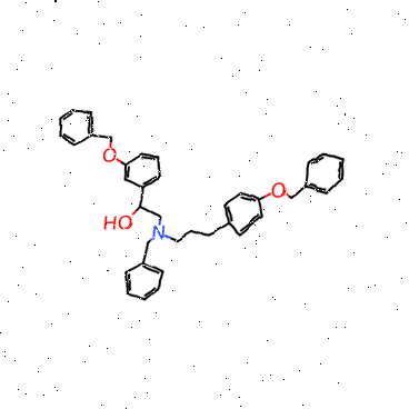 OC(CN(CCCc1ccc(OCc2ccccc2)cc1)Cc1ccccc1)c1cccc(OCc2ccccc2)c1